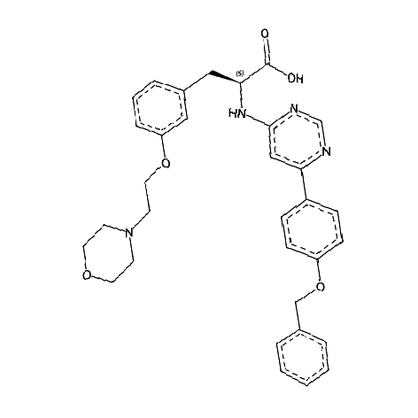 O=C(O)[C@H](Cc1cccc(OCCN2CCOCC2)c1)Nc1cc(-c2ccc(OCc3ccccc3)cc2)ncn1